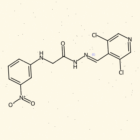 O=C(CNc1cccc([N+](=O)[O-])c1)N/N=C/c1c(Cl)cncc1Cl